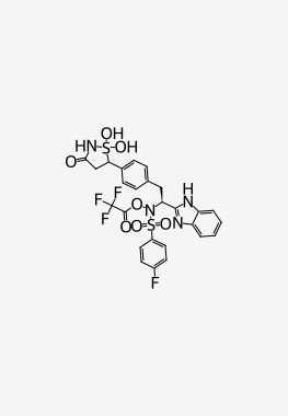 O=C1CC(c2ccc(C[C@@H](c3nc4ccccc4[nH]3)N(OC(=O)C(F)(F)F)S(=O)(=O)c3ccc(F)cc3)cc2)S(O)(O)N1